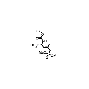 COP(=O)(CC(C)=C[C@@H](NC(=O)OC(C)(C)C)C(=O)O)OC